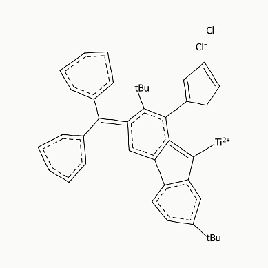 CC(C)(C)c1ccc2c(c1)[C]([Ti+2])=c1c-2cc(=C(c2ccccc2)c2ccccc2)c(C(C)(C)C)c1C1=CC=CC1.[Cl-].[Cl-]